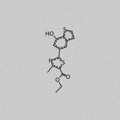 CCOC(=O)c1sc(-c2cc(O)c3sccc3c2)nc1C